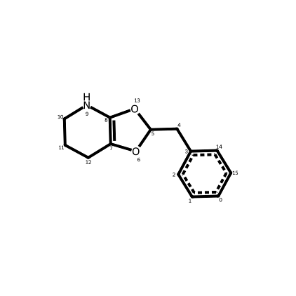 c1ccc(CC2OC3=C(NCCC3)O2)cc1